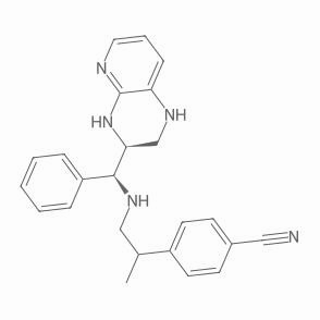 CC(CN[C@@H](c1ccccc1)[C@@H]1CNc2cccnc2N1)c1ccc(C#N)cc1